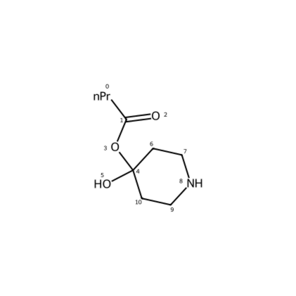 CCCC(=O)OC1(O)CCNCC1